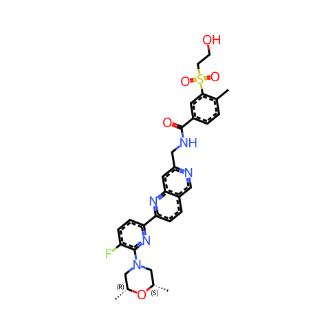 Cc1ccc(C(=O)NCc2cc3nc(-c4ccc(F)c(N5C[C@@H](C)O[C@@H](C)C5)n4)ccc3cn2)cc1S(=O)(=O)CCO